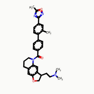 Cc1nc(-c2ccc(-c3ccc(C(=O)N4CCCc5cc6c(cc54)C(CCN(C)C)CO6)cc3)c(C)c2)no1